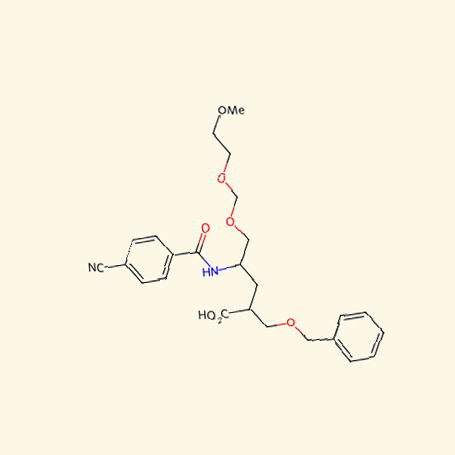 COCCOCOCC(CC(COCc1ccccc1)C(=O)O)NC(=O)c1ccc(C#N)cc1